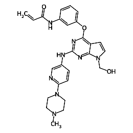 C=CC(=O)Nc1cccc(Oc2nc(Nc3ccc(N4CCN(C)CC4)nc3)nc3c2ccn3CO)c1